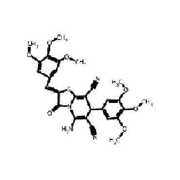 COc1cc(/C=c2\sc3n(c2=O)C(N)=C(C#N)C(c2cc(OC)c(OC)c(OC)c2)C=3C#N)cc(OC)c1OC